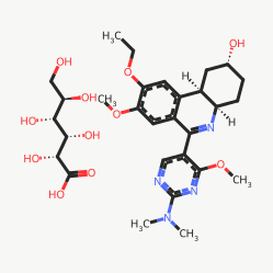 CCOc1cc2c(cc1OC)C(c1cnc(N(C)C)nc1OC)=N[C@@H]1CC[C@@H](O)C[C@H]21.O=C(O)[C@H](O)[C@@H](O)[C@H](O)[C@H](O)CO